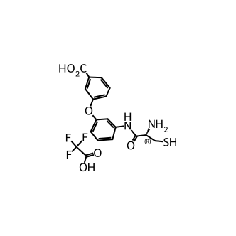 N[C@@H](CS)C(=O)Nc1cccc(Oc2cccc(C(=O)O)c2)c1.O=C(O)C(F)(F)F